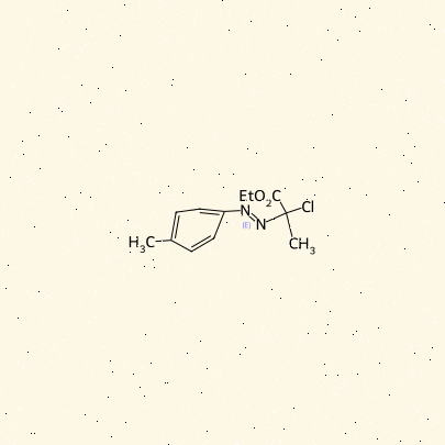 CCOC(=O)C(C)(Cl)/N=N/c1ccc(C)cc1